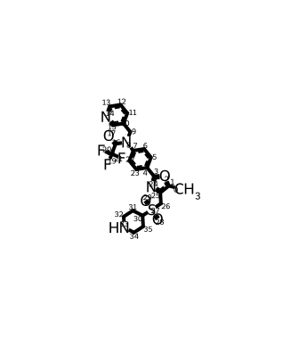 Cc1oc(-c2ccc(N(Cc3cccnc3)C(=O)C(F)(F)F)cc2)nc1CS(=O)(=O)C1CCNCC1